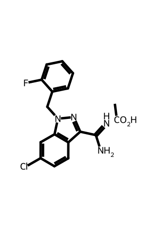 CC(=O)O.N=C(N)c1nn(Cc2ccccc2F)c2cc(Cl)ccc12